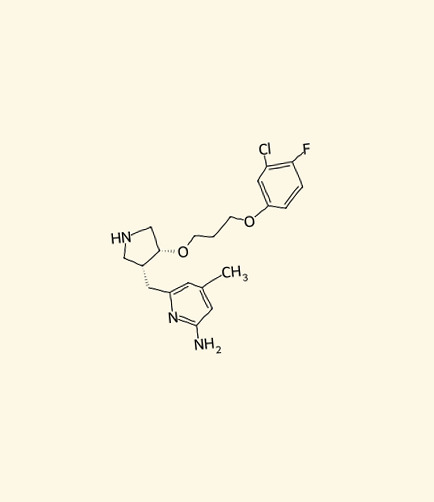 Cc1cc(N)nc(C[C@@H]2CNC[C@@H]2OCCCOc2ccc(F)c(Cl)c2)c1